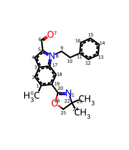 Cc1cc2cc(C=O)n(CCc3ccccc3)c2cc1C1=NC(C)(C)CO1